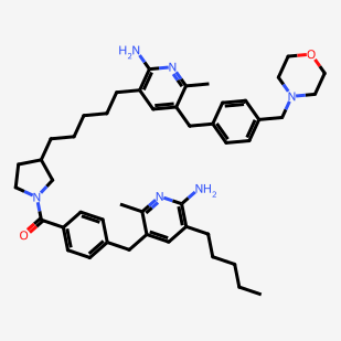 CCCCCc1cc(Cc2ccc(C(=O)N3CCC(CCCCCc4cc(Cc5ccc(CN6CCOCC6)cc5)c(C)nc4N)C3)cc2)c(C)nc1N